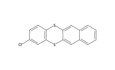 Clc1ccc2c(c1)Sc1cc3ccccc3cc1S2